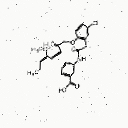 C=C(/C=C\C(=C/CC)OC)COc1ccc(Cl)cc1CC(=O)Nc1cccc(C(=O)O)c1